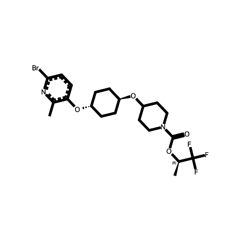 Cc1nc(Br)ccc1O[C@H]1CC[C@H](OC2CCN(C(=O)O[C@H](C)C(F)(F)F)CC2)CC1